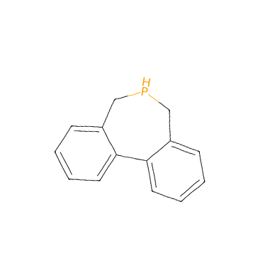 c1ccc2c(c1)CPCc1ccccc1-2